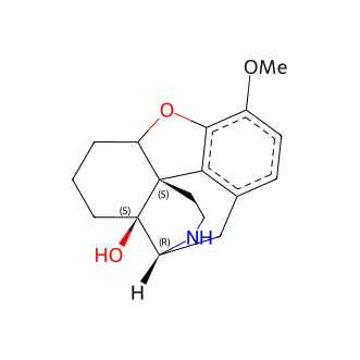 COc1ccc2c3c1OC1CCC[C@@]4(O)[C@@H](C2)NCC[C@]314